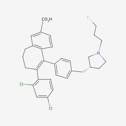 O=C(O)c1ccc2c(c1)CCCC(c1ccc(Cl)cc1Cl)=C2c1ccc(C[C@H]2CCN(CCCF)C2)cc1